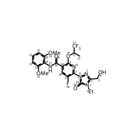 CCn1c(CO)nn(-c2nc(OC(C)C(F)(F)F)c(C(=O)Nc3c(OC)cccc3OC)cc2F)c1=O